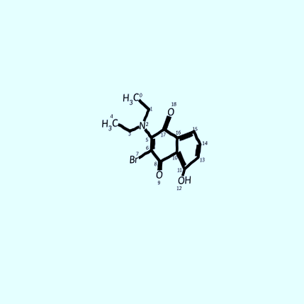 CCN(CC)C1=C(Br)C(=O)c2c(O)cccc2C1=O